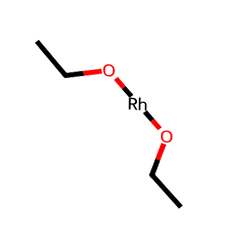 CC[O][Rh][O]CC